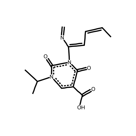 C=N/C(=C\C=C/C)n1c(=O)c(C(=O)O)cn(C(C)C)c1=O